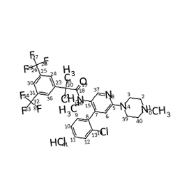 CN1CCN(c2cc(-c3ccccc3Cl)c(N(C)C(=O)C(C)(C)c3cc(C(F)(F)F)cc(C(F)(F)F)c3)cn2)CC1.Cl